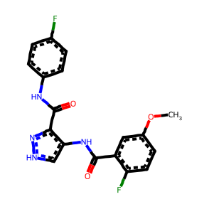 COc1ccc(F)c(C(=O)Nc2c[nH]nc2C(=O)Nc2ccc(F)cc2)c1